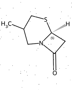 CC1CS[C@H]2CC(=O)N2C1